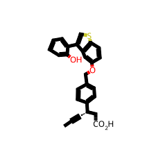 CC#C[C@@H](CC(=O)O)c1ccc(COc2ccc3scc(-c4ccccc4O)c3c2)cc1